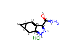 Cl.NC(=O)C1=NN=C2CC3CC3C=C21